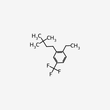 CCc1ccc(C(F)(F)F)cc1CCC(C)(C)C